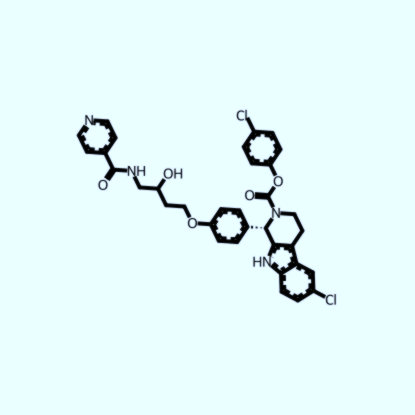 O=C(NCC(O)CCOc1ccc([C@H]2c3[nH]c4ccc(Cl)cc4c3CCN2C(=O)Oc2ccc(Cl)cc2)cc1)c1ccncc1